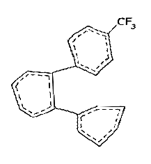 FC(F)(F)c1ccc(-c2ccccc2-c2ccccc2)cc1